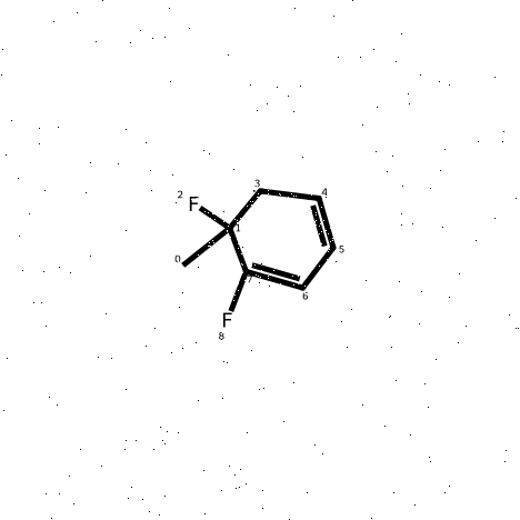 CC1(F)[CH]C=CC=C1F